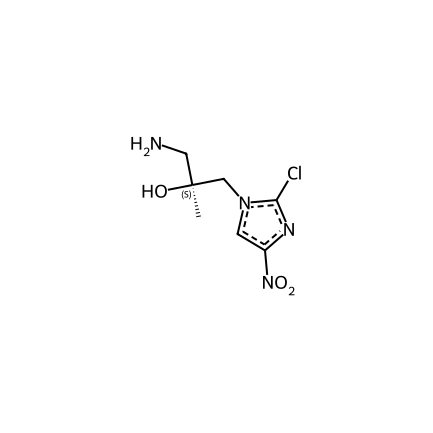 C[C@](O)(CN)Cn1cc([N+](=O)[O-])nc1Cl